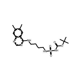 Cc1cc2ncnc(NCCCCNS(=O)(=O)NC(=O)OC(C)(C)C)c2cc1C